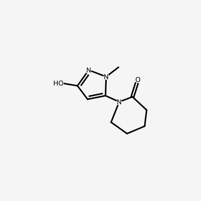 Cn1nc(O)cc1N1CCCCC1=O